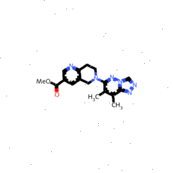 COC(=O)c1cnc2c(c1)CN(c1nn3cnnc3c(C)c1C)CC2